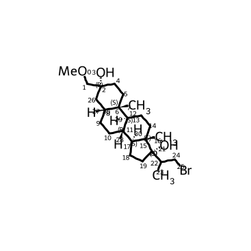 COC[C@@]1(O)CC[C@@]2(C)[C@H](CC[C@@H]3[C@@H]2CC[C@@]2(C)[C@H]3CC[C@]2(O)C(C)CBr)C1